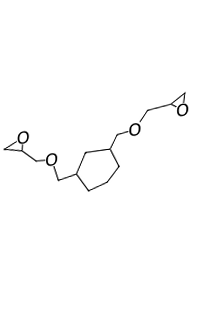 C1CC(COCC2CO2)CC(COCC2CO2)C1